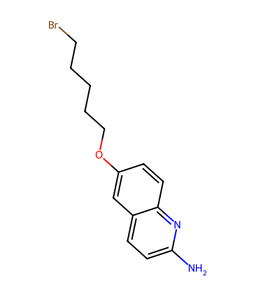 Nc1ccc2cc(OCCCCCBr)ccc2n1